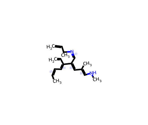 C=CC(=C\C=C/C)/C(/C=N\C(C)C=C)=C/C(C)=C/NC